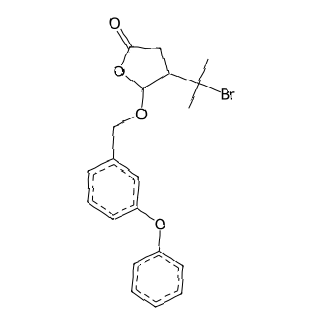 CC(C)(Br)C1CC(=O)OC1OCc1cccc(Oc2ccccc2)c1